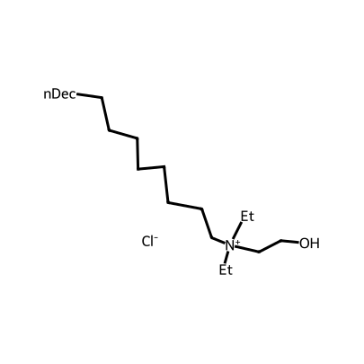 CCCCCCCCCCCCCCCCCC[N+](CC)(CC)CCO.[Cl-]